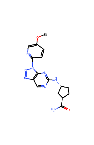 CCOc1ccc(-n2nnc3cnc(N[C@@H]4CC[C@@H](C(N)=O)C4)nc32)nc1